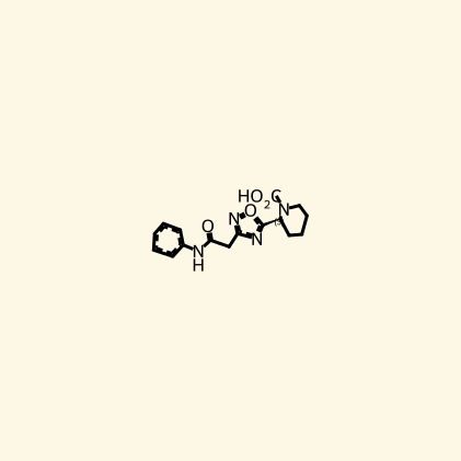 O=C(Cc1noc([C@@H]2CCCCN2C(=O)O)n1)Nc1ccccc1